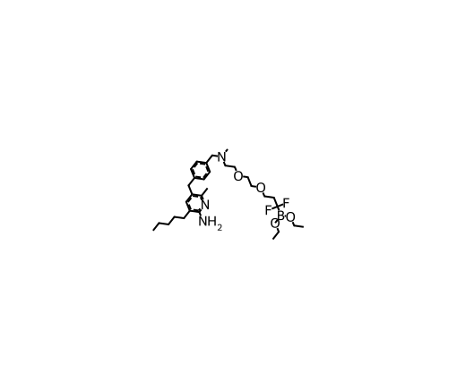 CCCCCc1cc(Cc2ccc(CN(C)CCOCCOCCC(F)(F)B(OCC)OCC)cc2)c(C)nc1N